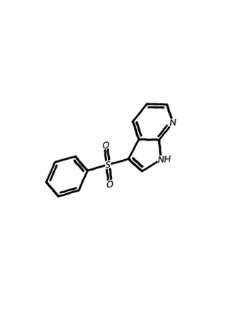 O=S(=O)(c1ccccc1)c1c[nH]c2ncccc12